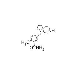 Cc1ccc(CN2CCCC23CCNCC3)cc1C(N)=O